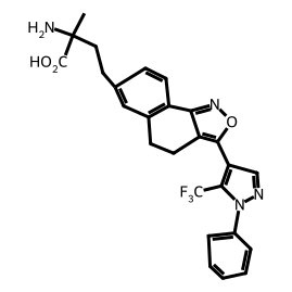 CC(N)(CCc1ccc2c(c1)CCc1c-2noc1-c1cnn(-c2ccccc2)c1C(F)(F)F)C(=O)O